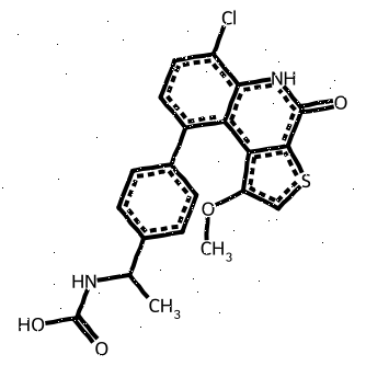 COc1csc2c(=O)[nH]c3c(Cl)ccc(-c4ccc(C(C)NC(=O)O)cc4)c3c12